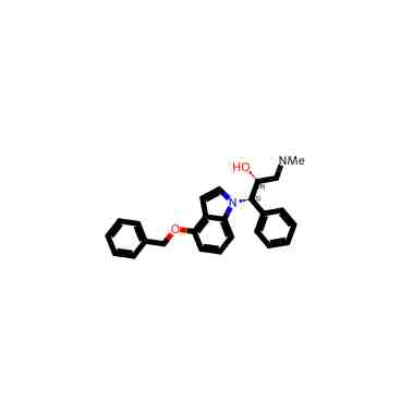 CNC[C@@H](O)[C@H](c1ccccc1)n1ccc2c(OCc3ccccc3)cccc21